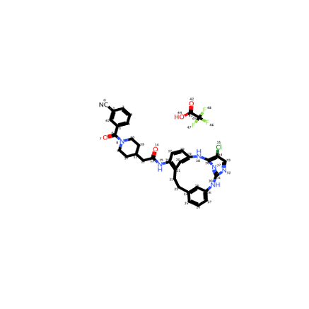 N#Cc1cccc(C(=O)N2CCC(CC(=O)Nc3ccc4cc3CCc3cccc(c3)Nc3ncc(Cl)c(n3)N4)CC2)c1.O=C(O)C(F)(F)F